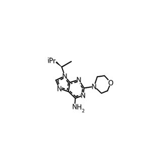 CC(C)[C@@H](C)n1cnc2c(N)nc(N3CCOCC3)nc21